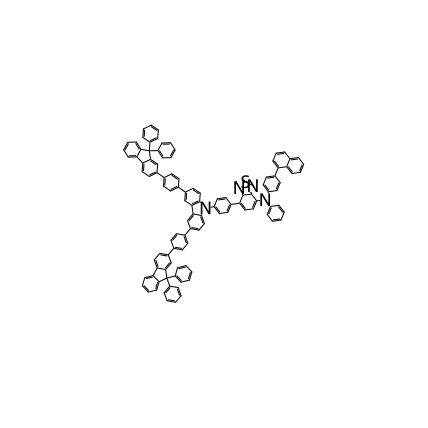 c1ccc(N(c2ccc(-c3cccc4ccccc34)cc2)c2ccc(-c3ccc(-n4c5ccc(-c6ccc(-c7ccc8c(c7)C(c7ccccc7)(c7ccccc7)c7ccccc7-8)cc6)cc5c5cc(-c6ccc(-c7ccc8c(c7)C(c7ccccc7)(c7ccccc7)c7ccccc7-8)cc6)ccc54)cc3)c3nsnc23)cc1